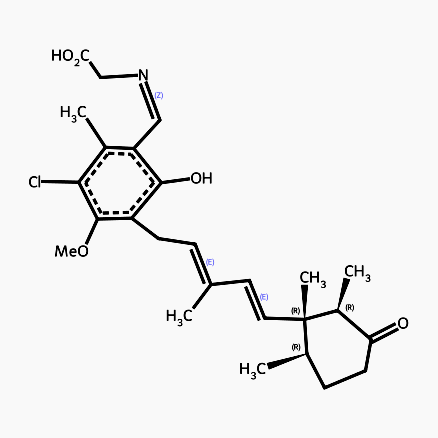 COc1c(Cl)c(C)c(/C=N\CC(=O)O)c(O)c1C/C=C(C)/C=C/[C@@]1(C)[C@H](C)CCC(=O)[C@@H]1C